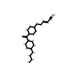 C=C(C1CCC(CCC=CC#N)CC1)C1CCC(CCCC)CC1